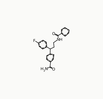 NC(=O)c1ccc(C(CCNC(=O)c2ccccc2)c2ccc(F)cc2)cc1